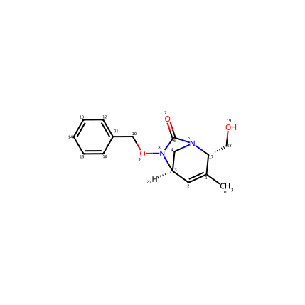 CC1=C[C@@H]2CN(C(=O)N2OCc2ccccc2)[C@@H]1CO